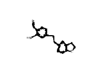 O=Cc1ccc(CCc2ccc3c(c2)CCO3)cc1O